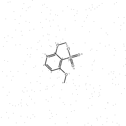 COc1ccnc(OC)c1S(=O)(=O)Cl